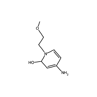 COCCN1C=CC(N)=CC1O